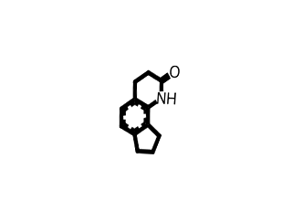 O=C1CCc2ccc3c(c2N1)CCC3